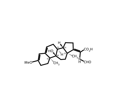 COC1=CC2=CC[C@H]3[C@@H]4CCC(=C(NC=O)C(=O)O)[C@@]4(C)CC[C@]3(O)[C@@]2(C)CC1